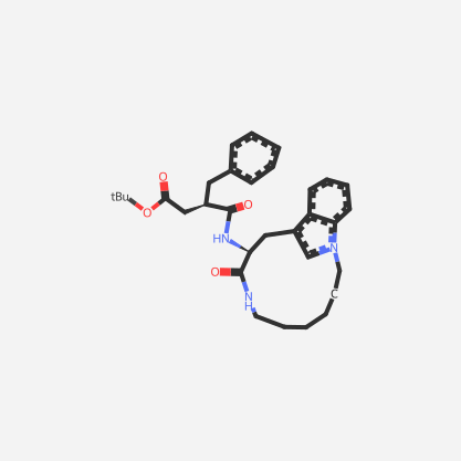 CC(C)(C)OC(=O)C[C@@H](Cc1ccccc1)C(=O)N[C@H]1Cc2cn(c3ccccc23)CCCCCCNC1=O